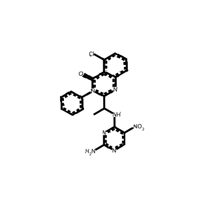 CC(Nc1nc(N)ncc1[N+](=O)[O-])c1nc2cccc(Cl)c2c(=O)n1-c1ccccc1